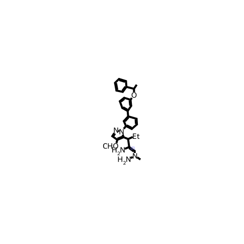 CCC(/C(N)=C/N(C)N)c1c(C=O)cnn1-c1cccc(-c2cccc(OC(C)c3ccccc3)c2)c1